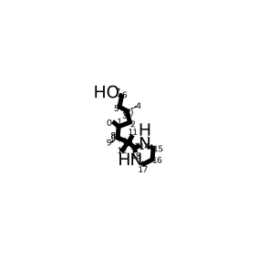 CC(C[C@@H](C)CCO)[C@@H](C)C(C)(C)C1NCCCN1